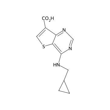 O=C(O)c1csc2c(NCC3CC3)ncnc12